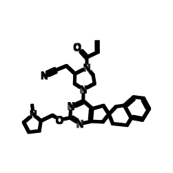 C=CC(=O)N1CCN(c2nc(OCC3CCCN3C)nc3c2CC2(CCc4ccccc4C2)C3)CC1CC#N